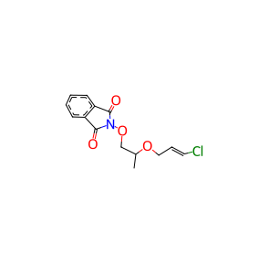 CC(CON1C(=O)c2ccccc2C1=O)OCC=CCl